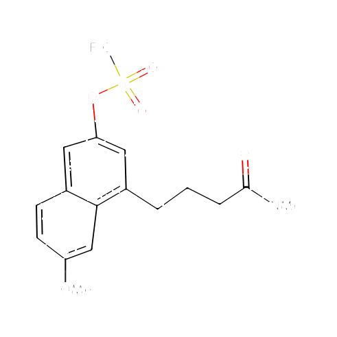 CNC(=O)CCCc1cc(OS(=O)(=O)C(F)(F)F)cc2ccc(OC)cc12